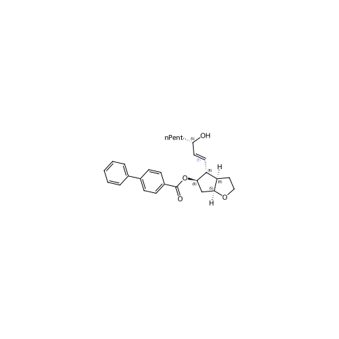 CCCCC[C@H](O)/C=C/[C@@H]1[C@H]2CCO[C@H]2C[C@H]1OC(=O)c1ccc(-c2ccccc2)cc1